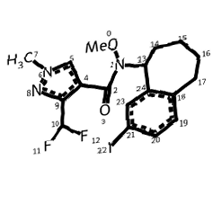 CON(C(=O)c1cn(C)nc1C(F)F)C1CCCCc2ccc(I)cc21